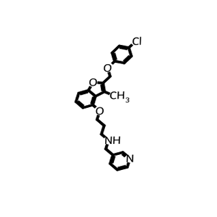 Cc1c(COc2ccc(Cl)cc2)oc2cccc(OCCCNCc3cccnc3)c12